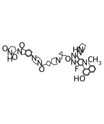 CCc1cccc2cc(O)cc(-c3ncc4c(N5CC6CCC(C5)N6)nc(OCC5(CN6CCC7(CC6)CC(C(=O)N6CCN(c8ccc9c(c8)CN([C@H]8CCC(=O)NC8=O)C9=O)CC6)C7)CC5)nc4c3F)c12